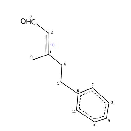 C/C(=C\C=O)CCc1ccccc1